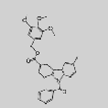 COc1cc(COC(=O)C2CCc3c(c4cc(C)ccc4n3C(=O)c3ccccc3)C2)cc(OC)c1OC